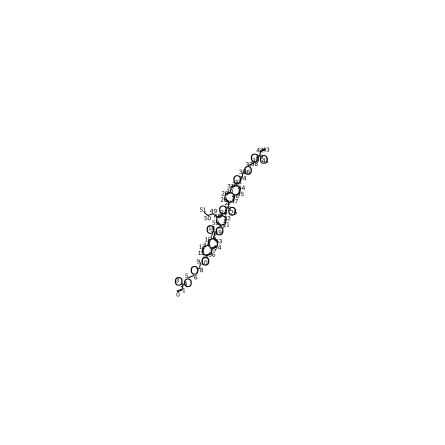 C=CC(=O)OCCOCCOc1ccc2cc(C(=O)Oc3ccc(OC(=O)c4ccc5cc(OCCOCCOC(=O)C=C)ccc5c4)c(CCC)c3)ccc2c1